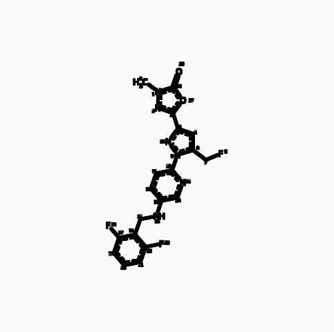 Cn1nc(-c2cc(CF)n(-c3ccc(NCc4c(F)cccc4F)cn3)n2)oc1=O